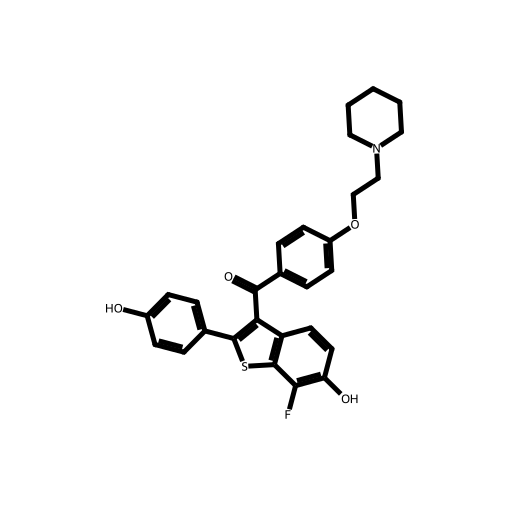 O=C(c1ccc(OCCN2CCCCC2)cc1)c1c(-c2ccc(O)cc2)sc2c(F)c(O)ccc12